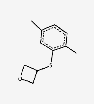 Cc1ccc(C)c(SC2COC2)c1